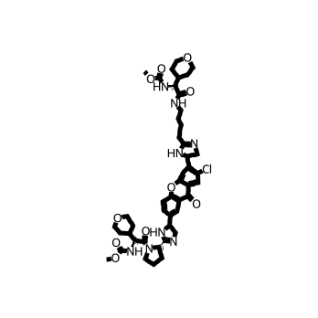 COC(=O)N[C@H](C(=O)NCCCCC1=NCC(c2cc3oc4ccc(C5CN=C([C@@H]6CCCN6C(=O)[C@@H](NC(=O)OC)C6CCOCC6)N5)cc4c(=O)c3cc2Cl)N1)C1CCOCC1